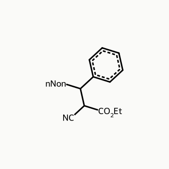 CCCCCCCCCC(c1ccccc1)C(C#N)C(=O)OCC